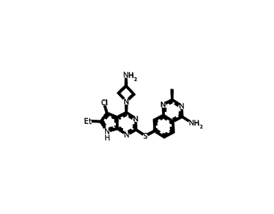 CCc1[nH]c2nc(Sc3ccc4c(N)nc(C)nc4c3)nc(N3CC(N)C3)c2c1Cl